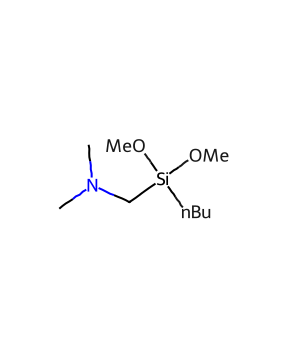 CCCC[Si](CN(C)C)(OC)OC